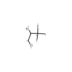 CCC(CCl)C(C)(F)F